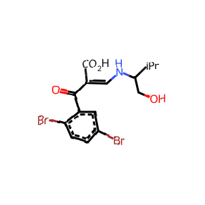 CC(C)C(CO)NC=C(C(=O)O)C(=O)c1cc(Br)ccc1Br